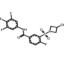 O=C(Nc1cc(F)c(F)c(F)c1)c1ccc(F)c(S(=O)(=O)N2CC(O)C2)c1